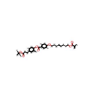 C=C(C)C(=O)OCCCCCCCCOc1ccc(C(=O)Oc2ccc(CCC(=O)OC(C)(C)C)cc2C)cc1